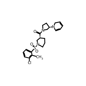 Cc1c(Cl)cccc1S(=O)(=O)N1CCC[C@H](C(=O)N2CC[C@@H](N3C=CC=CC3)C2)C1